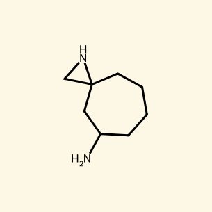 NC1CCCCC2(CN2)C1